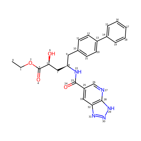 CCOC(=O)[C@@H](O)C[C@@H](Cc1ccc(-c2ccccc2)cc1)NC(=O)c1cnc2[nH]nnc2c1